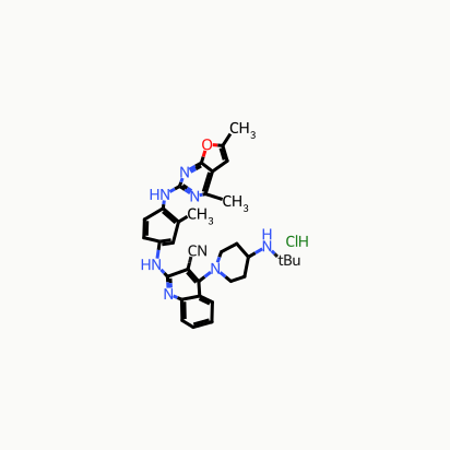 Cc1cc2c(C)nc(Nc3ccc(Nc4nc5ccccc5c(N5CCC(NC(C)(C)C)CC5)c4C#N)cc3C)nc2o1.Cl